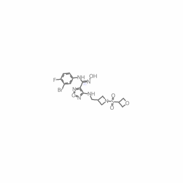 O=S(=O)(C1COC1)N1CC(CNc2nonc2/C(=N/O)Nc2ccc(F)c(Br)c2)C1